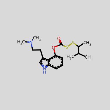 CC(C)C(C)SSC(=O)Oc1cccc2[nH]cc(CCN(C)C)c12